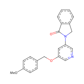 COc1ccc(COc2cncc(N3Cc4ccccc4C3=O)c2)cc1